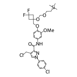 COc1cc(NC(=O)c2nn(-c3ccc(Cl)cc3)cc2CCl)ccc1OCC1(OCOCC[Si](C)(C)C)CC(F)(F)C1